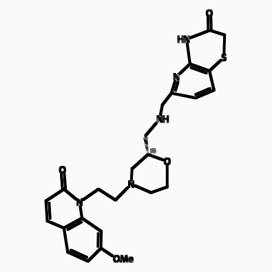 COc1ccc2ccc(=O)n(CCN3CCO[C@@H](CNCc4ccc5c(n4)NC(=O)CS5)C3)c2c1